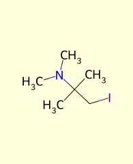 CN(C)C(C)(C)CI